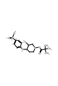 CC(C)(C)C(=O)ON1CCC(Oc2ccc([N+](=O)[O-])cc2)C(F)C1